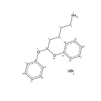 Br.PCCCCC(Oc1ccccc1)Oc1ccccc1